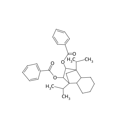 CC(C)C12CC(C(C)C)(C3CCCCC31)C(OC(=O)c1ccccc1)C2OC(=O)c1ccccc1